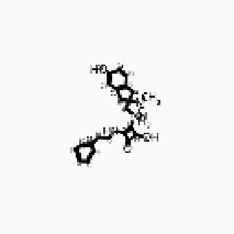 CN(C)C1(CNC2=C(NCCc3ccccc3)C(=O)C2O)Cc2ccc(O)cc2C1